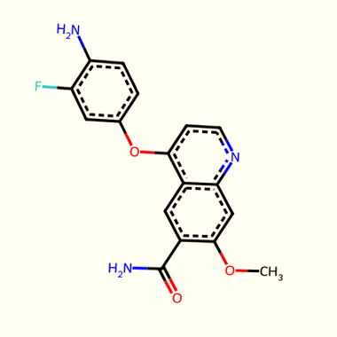 COc1cc2nccc(Oc3ccc(N)c(F)c3)c2cc1C(N)=O